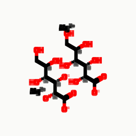 O=C([O-])[C@H](O)[C@@H](O)[C@H](O)[C@H](O)CO.O=C([O-])[C@H]([O-])[C@@H]([O-])[C@H](O)[C@H](O)CO.[Mg+2].[Mg+2]